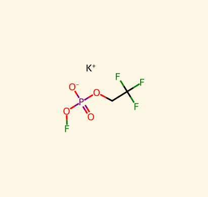 O=P([O-])(OF)OCC(F)(F)F.[K+]